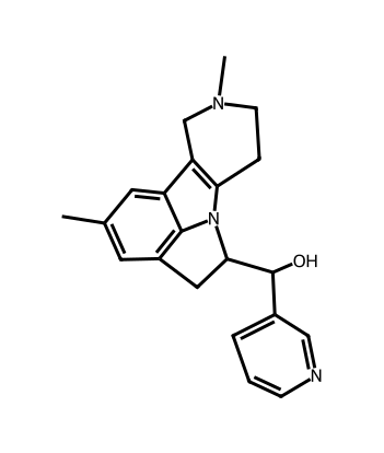 Cc1cc2c3c(c1)c1c(n3C(C(O)c3cccnc3)C2)CCN(C)C1